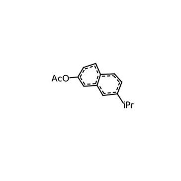 CC(=O)Oc1ccc2ccc(C(C)C)cc2c1